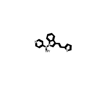 CCCN(c1ccncc1)n1cc(C=Cc2cccs2)c2ccccc21